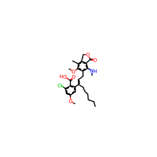 CCCCCC/C(=C\Cc1c(NC)c2c(c(C)c1OC)COC2=O)c1cc(OC)cc(Cl)c1C(=O)O